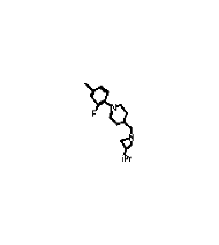 Cc1ccc(N2CCC(CN3CC(C(C)C)C3)CC2)c(F)c1